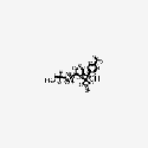 CC(C)c1ccc(C(O)(c2cncc(-c3noc(C(C)(C)CO)n3)c2)C2(C)CN(C)C2)cc1